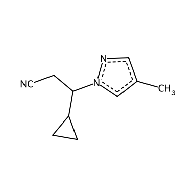 Cc1cnn(C(CC#N)C2CC2)c1